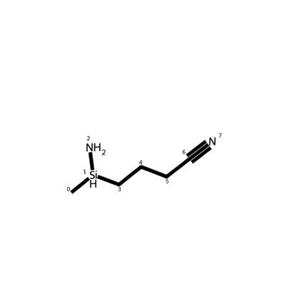 C[SiH](N)CCCC#N